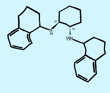 c1ccc2c(c1)CCCC2N[C@H]1CCCC[C@@H]1NC1CCCc2ccccc21